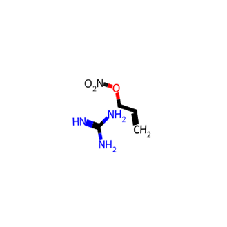 C=CCO[N+](=O)[O-].N=C(N)N